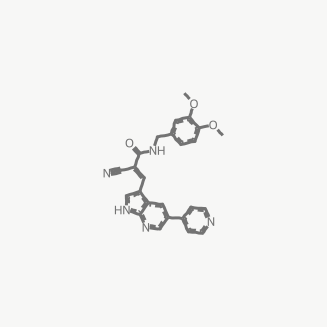 COc1ccc(CNC(=O)/C(C#N)=C/c2c[nH]c3ncc(-c4ccncc4)cc23)cc1OC